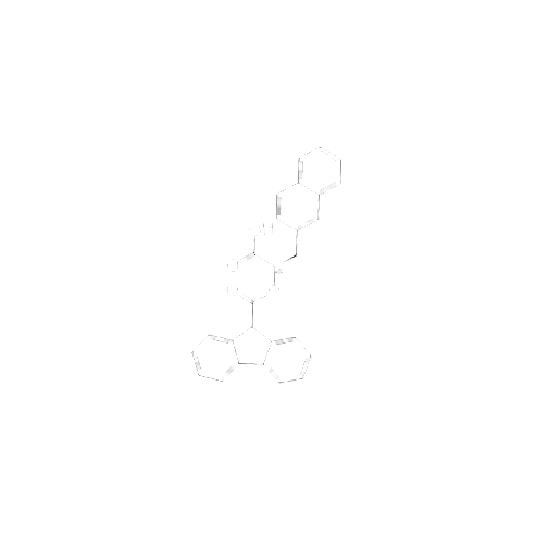 O=C(O[C@H](Cc1ccc2ccccc2c1)C(=O)O)C1c2ccccc2-c2ccccc21